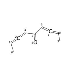 CC=C=CC(=O)C=C=CC